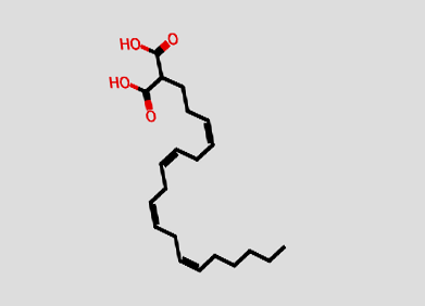 CCCCC/C=C\C/C=C\C/C=C\C/C=C\CCC(C(=O)O)C(=O)O